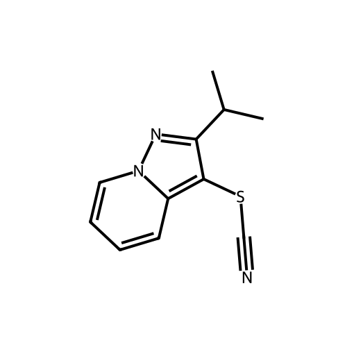 CC(C)c1nn2ccccc2c1SC#N